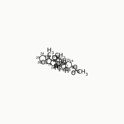 C=C1C[C@H]2[C@@H](CC[C@H]3CC(OC(C)=O)CC[C@@]32C)[C@@H]2CC3CC4(CCCCO4)C(C)C3[C@@]12C